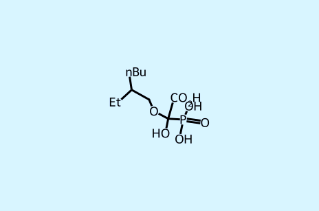 CCCCC(CC)COC(O)(C(=O)O)P(=O)(O)O